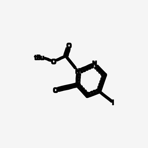 CC(C)(C)OC(=O)n1ncc(I)cc1=O